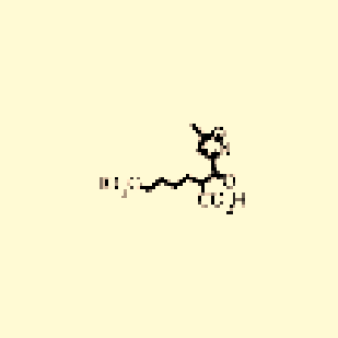 Cc1cc(C(=O)C(CCCCC(=O)O)C(=O)O)no1